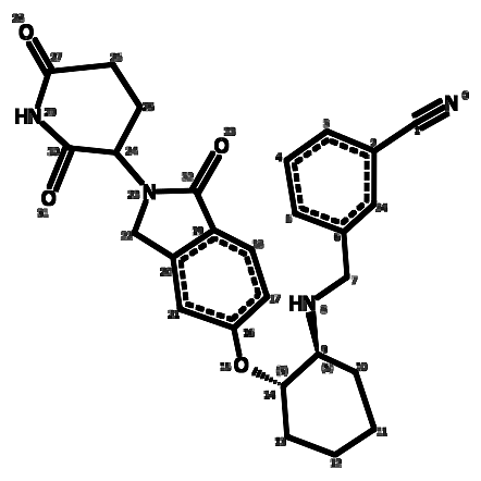 N#Cc1cccc(CN[C@H]2CCCC[C@@H]2Oc2ccc3c(c2)CN(C2CCC(=O)NC2=O)C3=O)c1